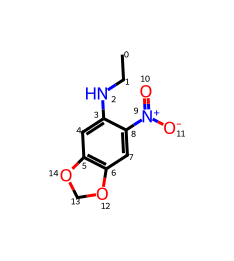 CCNc1cc2c(cc1[N+](=O)[O-])OCO2